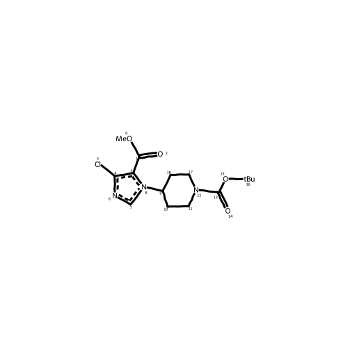 COC(=O)c1c(Cl)ncn1C1CCN(C(=O)OC(C)(C)C)CC1